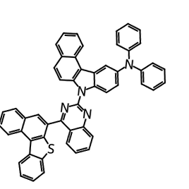 c1ccc(N(c2ccccc2)c2ccc3c(c2)c2c4ccccc4ccc2n3-c2nc(-c3cc4ccccc4c4c3sc3ccccc34)c3ccccc3n2)cc1